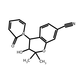 CC1(C)Oc2cc(C#N)ccc2C(n2ccccc2=O)C1O